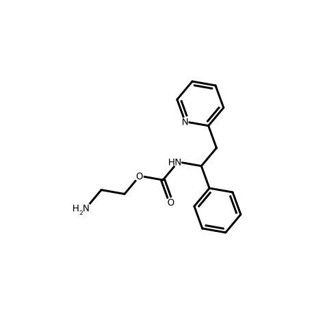 NCCOC(=O)NC(Cc1ccccn1)c1ccccc1